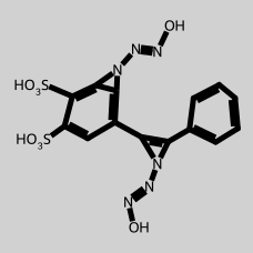 O=S(=O)(O)c1cc(C2=C(c3ccccc3)N2N=NO)c2c(c1S(=O)(=O)O)N2N=NO